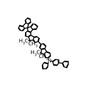 CC1(C)c2cc(-c3ccc4c(c3)C(C)(C)c3ccc5c(c3-4)-c3ccccc3C53c4ccccc4-c4ccccc43)ccc2-c2ccc(N(c3ccccc3)c3ccc(-c4ccccc4)cc3)cc21